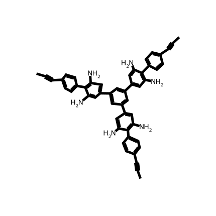 CC#Cc1ccc(-c2c(N)cc(-c3cc(-c4cc(N)c(-c5ccc(C#CC)cc5)c(N)c4)cc(-c4cc(N)c(-c5ccc(C#CC)cc5)c(N)c4)c3)cc2N)cc1